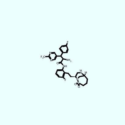 NC(C(=O)Nc1cccc(F)c1CC[C@H]1CN[C@@H]2CCCS(=O)(=O)N1C2)C(c1ccc(F)cc1)c1cnc(C(F)(F)F)nc1